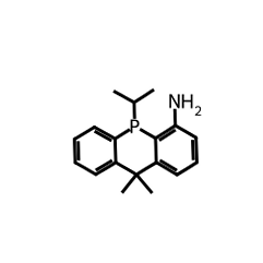 CC(C)P1c2ccccc2C(C)(C)c2cccc(N)c21